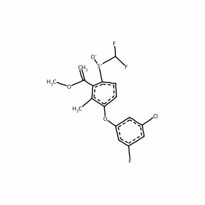 C=C(OC)c1c([S+]([O-])C(F)F)ccc(Oc2cc(F)cc(Cl)c2)c1C